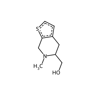 CN1Cc2sccc2CC1CO